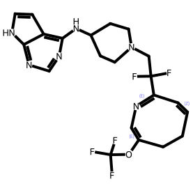 FC(F)(F)O/C1=C/N=C(C(F)(F)CN2CCC(Nc3ncnc4[nH]ccc34)CC2)\C=C/CC1